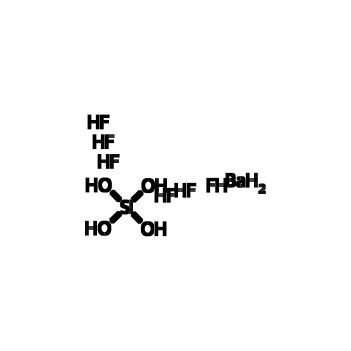 F.F.F.F.F.F.O[Si](O)(O)O.[BaH2]